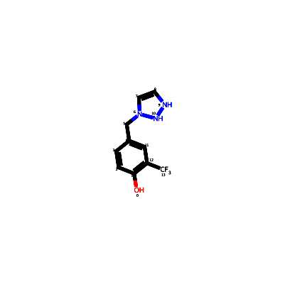 Oc1ccc(CN2C=CNN2)cc1C(F)(F)F